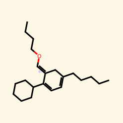 CCCCCC1=CC=C(C2CCCCC2)/C(=C/OCCCC)C1